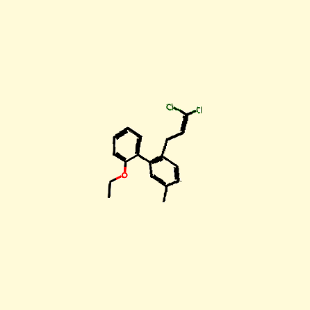 CCOc1ccccc1-c1cc(C)[c]cc1CC=C(Cl)Cl